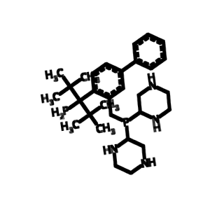 CC(C)(C)C(P)(c1ccc(-c2ccccc2)cc1CP(C1CNCCN1)C1CNCCN1)C(C)(C)C